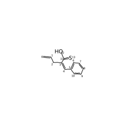 C=CCC(=Cc1ccccc1)C(O)=S